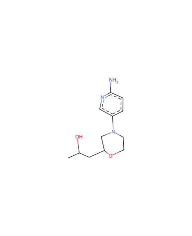 CC(O)CC1CN(c2ccc(N)nc2)CCO1